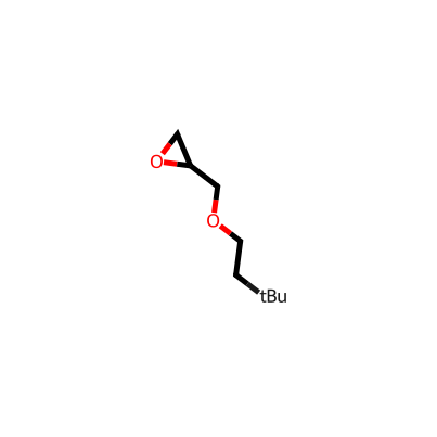 CC(C)(C)CCOCC1CO1